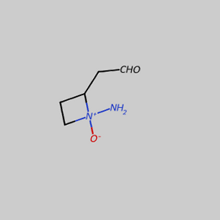 N[N+]1([O-])CCC1CC=O